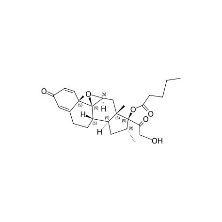 CCCCC(=O)O[C@@]1(C(=O)CO)[C@H](C)C[C@H]2[C@@H]3CCC4=CC(=O)C=C[C@]4(C)[C@@]34O[C@H]4C[C@@]21C